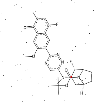 COc1cc2c(=O)n(C)cc(F)c2cc1-c1ncc(N(C)[C@H]2C[C@@H]3CCC([C@H]2F)N3C(=O)OC(C)(C)C)nn1